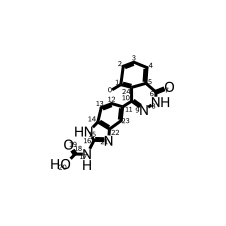 Cc1cccc2c(=O)[nH]nc(-c3ccc4[nH]c(NC(=O)O)nc4c3)c12